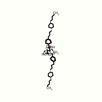 CCCCC[C@H]1CC[C@H](CCCCc2ccc(C(=O)O[C@@](CC)(C(=O)O)[C@@](CC)(OC(=O)c3ccc(CCCC[C@H]4CC[C@H](CCCCC)CC4)cc3)C(=O)O)cc2)CC1